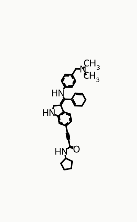 CN(C)Cc1ccc(N/C(C2=CCCC=C2)=C2\CNc3cc(C#CC(=O)NC4CCCC4)ccc32)cc1